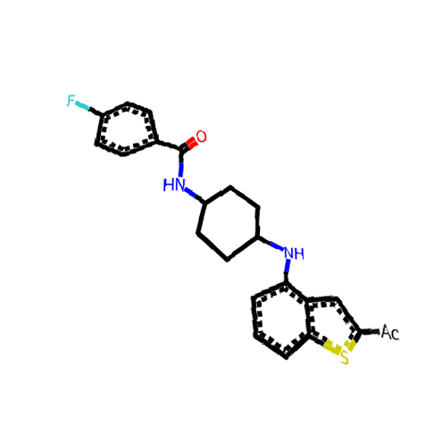 CC(=O)c1cc2c(NC3CCC(NC(=O)c4ccc(F)cc4)CC3)cccc2s1